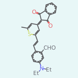 CCN(CC)c1ccc(C=CC2=CC(=C3C(=O)c4ccccc4C3=O)C=C(C)S2)c(C=O)c1